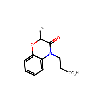 CC(C)C1Oc2ccccc2N(CCC(=O)O)C1=O